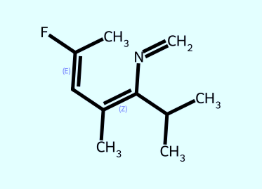 C=N/C(=C(C)\C=C(/C)F)C(C)C